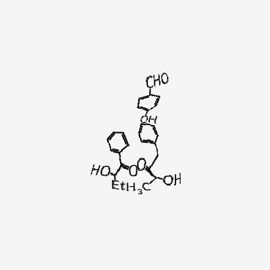 CC(O)C(=O)Cc1ccccc1.CCC(O)C(=O)c1ccccc1.O=Cc1ccc(O)cc1